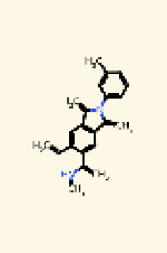 C=Cc1cc2c(=C)n(-c3cccc(C)c3)c(=C)c2cc1C(=C)NC